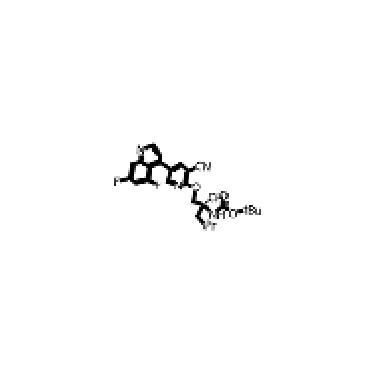 CC(C)C[C@@](C)(COc1ncc(-c2ccnc3cc(F)cc(F)c23)cc1C#N)NC(=O)OC(C)(C)C